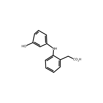 O=C(O)Cc1ccccc1Nc1cccc(O)c1